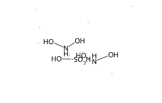 O=S(=O)(O)O.ONO.ONO